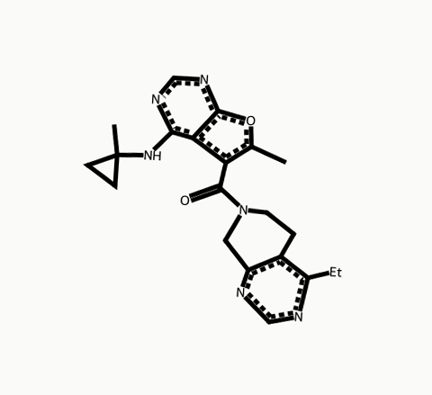 CCc1ncnc2c1CCN(C(=O)c1c(C)oc3ncnc(NC4(C)CC4)c13)C2